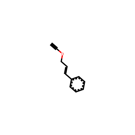 C#COC/C=C/c1ccccc1